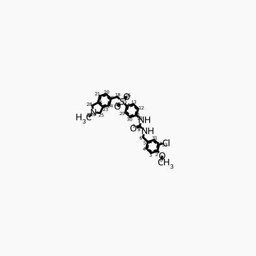 COc1ccc(CNC(=O)Nc2ccc(S(=O)(=O)Cc3ccc4c(c3)CN(C)C4)cc2)cc1Cl